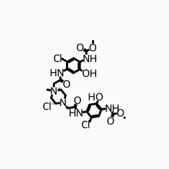 COC(=O)Nc1cc(Cl)c(NC(=O)CN2CC[N+](C)(CC(=O)Nc3cc(O)c(NC(=O)OC)cc3Cl)CC2)cc1O.[Cl-]